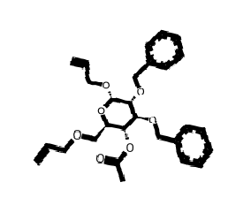 C=CCOC[C@H]1O[C@H](OCC=C)[C@H](OCc2ccccc2)[C@@H](OCc2ccccc2)[C@@H]1OC(C)=O